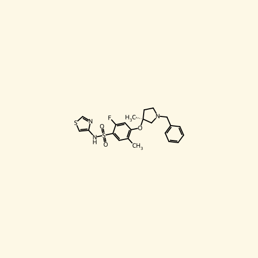 Cc1cc(S(=O)(=O)Nc2cscn2)c(F)cc1O[C@@]1(C)CCN(Cc2ccccc2)C1